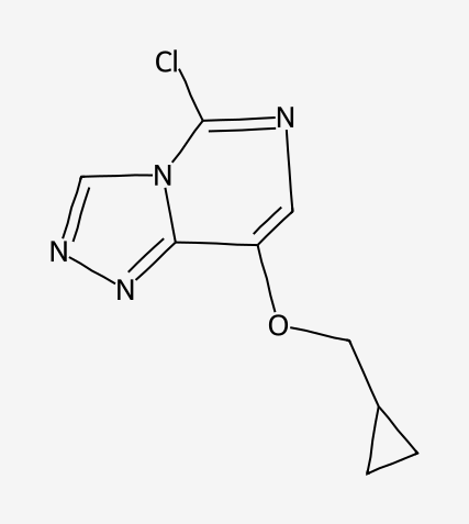 Clc1ncc(OCC2CC2)c2nncn12